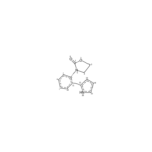 O=C1OCCN1c1ccccc1-c1ccc[nH]1